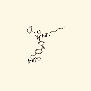 CCCCCCCNC(=O)N(CCc1ccccc1)c1ccc(Sc2ccc(C(CC)C(=O)O)cc2)cc1